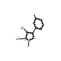 Cc1cccc(-c2nn(C)c(O)c2C(C)C)c1